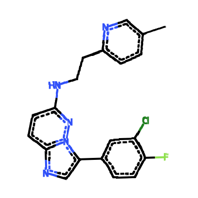 Cc1ccc(CCNc2ccc3ncc(-c4ccc(F)c(Cl)c4)n3n2)nc1